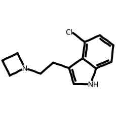 Clc1cccc2[nH]cc(CCN3CCC3)c12